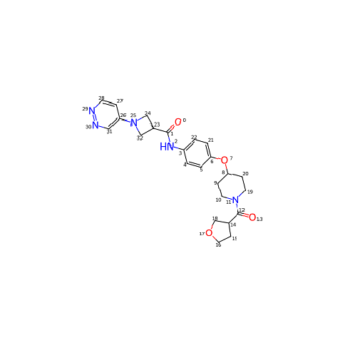 O=C(Nc1ccc(OC2CCN(C(=O)C3CCOC3)CC2)cc1)C1CN(c2ccnnc2)C1